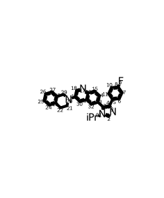 CC(C)n1cnc(-c2ccc(F)cc2)c1-c1ccc2ncc(N3CCc4ccccc4C3)cc2c1